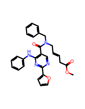 COC(=O)C/C=C/CN(Cc1ccccc1)C(=O)c1cnc(-c2ccco2)nc1Nc1ccccc1